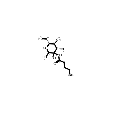 NCCCC(=O)N[C@]1(O)C(O)O[C@H](CO)[C@@H](O)[C@@H]1O